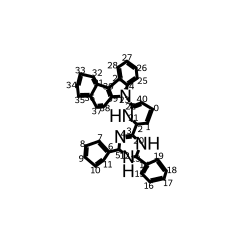 C1=CC(C2=NC(c3ccccc3)NC(c3ccccc3)N2)NC(n2c3ccccc3c3c4ccccc4ccc32)=C1